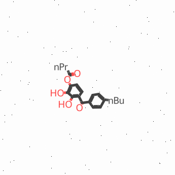 CCCCc1ccc(C(=O)c2ccc(OC(=O)CCC)c(O)c2O)cc1